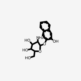 CC(=O)NC1C(Oc2cc3ccccc3cc2O)OC(CO)C(O)C1O